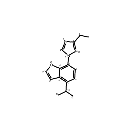 CCc1ncn(-c2ccc(C(C)C)c3cnoc23)n1